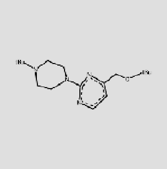 CC(C)(C)OCc1ccnc(N2CCN(C(C)(C)C)CC2)n1